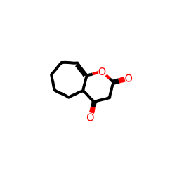 O=C1CC(=O)C2CCCCC=C2O1